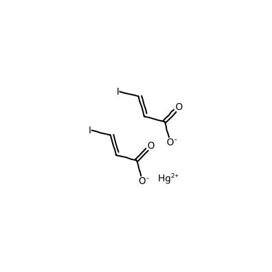 O=C([O-])C=CI.O=C([O-])C=CI.[Hg+2]